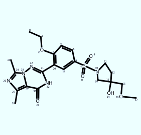 CCOc1ccc(S(=O)(=O)N2CCC(O)(COC)C2)cc1-c1nn2c(C)nc(C)c2c(=O)[nH]1